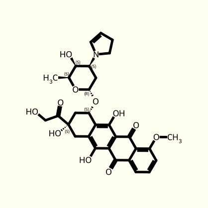 COc1cccc2c1C(=O)c1c(O)c3c(c(O)c1C2=O)C[C@@](O)(C(=O)CO)C[C@@H]3O[C@H]1C[C@H](N2C=CCC2)[C@H](O)[C@H](C)O1